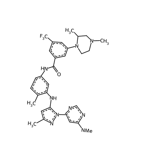 CNc1cc(-n2nc(C)cc2Nc2cc(NC(=O)c3cc(N4CCN(C)CC4C)cc(C(F)(F)F)c3)ccc2C)ncn1